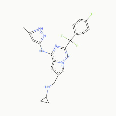 Cc1cc(Nc2nc(C(F)(F)c3ccc(F)cc3)nn3cc(CNC4CC4)cc23)n[nH]1